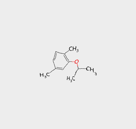 Cc1ccc(C)c(OC(C)C)c1